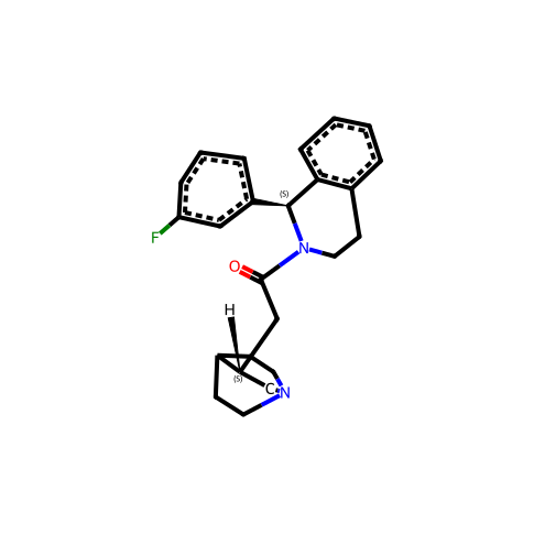 O=C(C[C@@H]1CN2CCC1CC2)N1CCc2ccccc2[C@@H]1c1cccc(F)c1